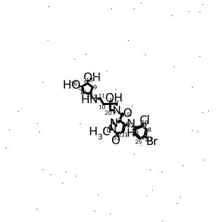 Cn1nc(C(=O)N2CC(O)(CCNC3C[C@@H](O)[C@@H](O)C3)C2)c(Nc2ccc(Br)cc2Cl)cc1=O